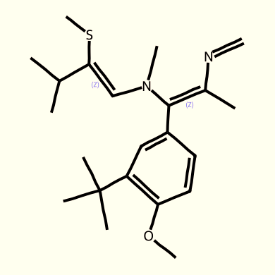 C=N/C(C)=C(/c1ccc(OC)c(C(C)(C)C)c1)N(C)/C=C(\SC)C(C)C